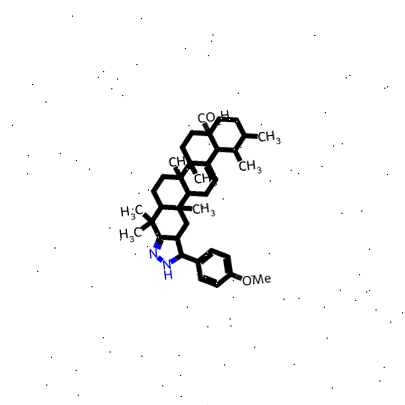 COc1ccc(C2NN=C3C2CC2(C)C(CCC4(C)C2CC=C2C5C(C)C(C)CCC5(C(=O)O)CCC24C)C3(C)C)cc1